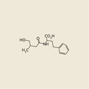 CC(CO)CC(=O)NC(CCc1ccccc1)C(=O)O